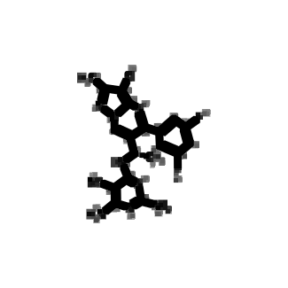 Cc1nn2cc([C@H](C)Nc3nc(N)nc(N)c3C#N)c(-c3cc(F)cc(F)c3)nc2c1Cl